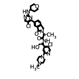 C[C@H](C(=O)N[C@H](CO)c1cc(N2CCN(C)CC2)ncc1Cl)N1Cc2ccc(-c3nc(NC4CCOCC4)ncc3Cl)cc2C1=O